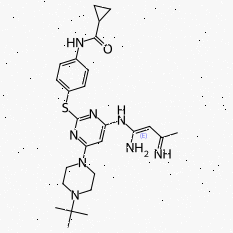 CC(=N)/C=C(\N)Nc1cc(N2CCN(C(C)(C)C)CC2)nc(Sc2ccc(NC(=O)C3CC3)cc2)n1